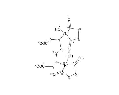 O=C([O-])CC(SSC(CC(=O)[O-])[N+]1(O)C(=O)CCC1=O)[N+]1(O)C(=O)CCC1=O